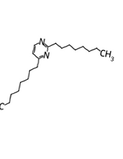 CCCCCCCCc1ccnc(CCCCCCCC)n1